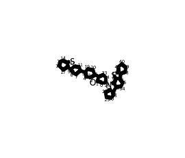 C1=c2oc3cc(-c4ccc5c(c4)sc4ccccc45)ccc3c2=CCC1n1c2ccccc2c2ccc3c4ccccc4sc3c21